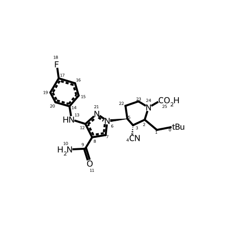 CC(C)(C)CC1[C@H](C#N)[C@@H](n2cc(C(N)=O)c(Nc3ccc(F)cc3)n2)CCN1C(=O)O